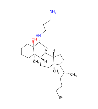 CC(C)CCC[C@@H](C)[C@H]1CC[C@H]2C3=C[C@@H](NCCCN)[C@@]4(O)CCCC[C@]4(C)[C@H]3CC[C@]12C